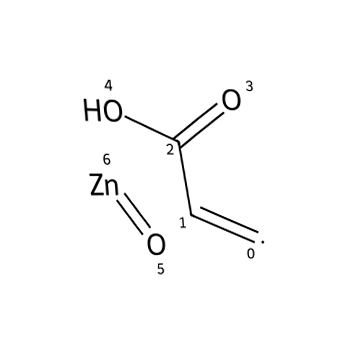 [CH]=CC(=O)O.[O]=[Zn]